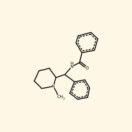 CN1CCCCC1C(NC(=O)c1ccccc1)c1ccccc1